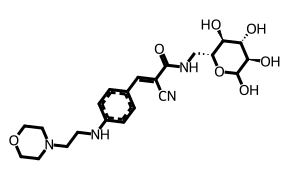 N#C/C(=C\c1ccc(NCCN2CCOCC2)cc1)C(=O)NC[C@H]1OC(O)[C@H](O)[C@@H](O)[C@@H]1O